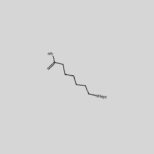 C=C(CCC)CCCCCCCCCCCCC